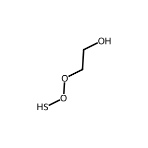 OCCOOS